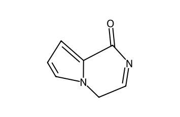 O=C1N=CCn2cccc21